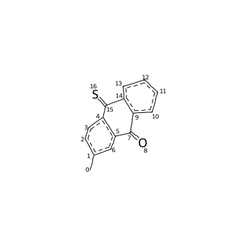 Cc1ccc2c(c1)C(=O)c1ccccc1C2=S